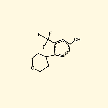 Oc1ccc(C2CCOCC2)c(C(F)(F)F)c1